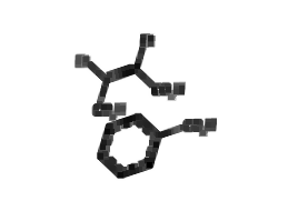 CC/C(C(=O)O)=C(\CC)C(=O)O.O=C(O)c1ccccc1